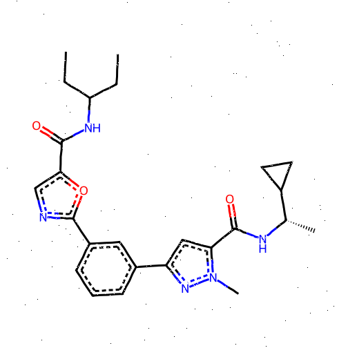 CCC(CC)NC(=O)c1cnc(-c2cccc(-c3cc(C(=O)N[C@@H](C)C4CC4)n(C)n3)c2)o1